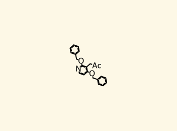 CC(=O)Cc1c(OCc2ccccc2)ccnc1OCc1ccccc1